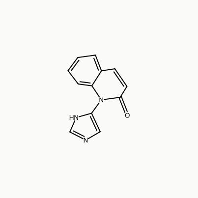 O=c1ccc2ccccc2n1-c1cnc[nH]1